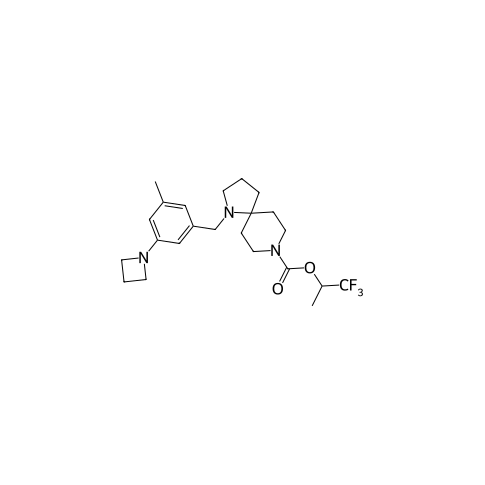 Cc1cc(CN2CCCC23CCN(C(=O)OC(C)C(F)(F)F)CC3)cc(N2CCC2)c1